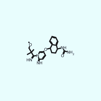 COCC(C)(C)C(=N)n1cc(OC2CCC(NC(N)=O)c3ccccc32)ccc1=N